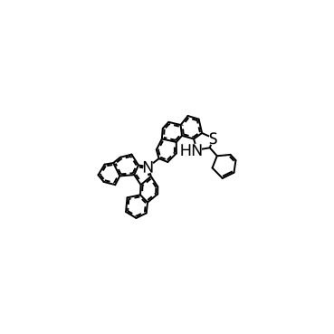 C1=CCC(C2Nc3c(ccc4ccc5cc(-n6c7ccc8ccccc8c7c7c8ccccc8ccc76)ccc5c34)S2)C=C1